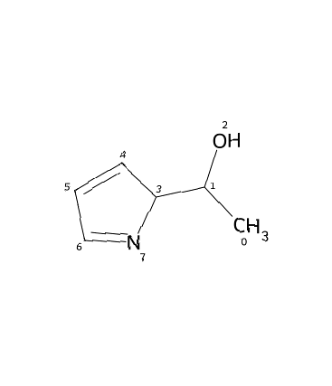 CC(O)C1C=CC=N1